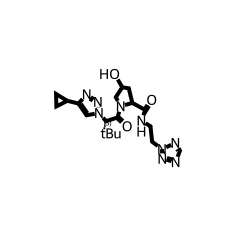 CC(C)(C)[C@@H](C(=O)N1CC(O)CC1C(=O)NCCn1ncnn1)n1cc(C2CC2)nn1